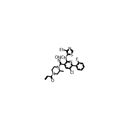 C=CC(=O)N1CCN(/C(=N/C)c2cc(Cl)c(-c3ccccc3F)nc2N(C=O)c2scnc2CC)C(C)C1